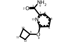 NC(=O)c1[c]ccc(OC2CCC2)n1